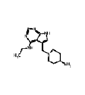 CCNc1ncnc2[nH]cc(CN3CCC(N)CC3)c12